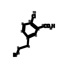 O=C(O)c1cc(CCBr)ccc1Cl